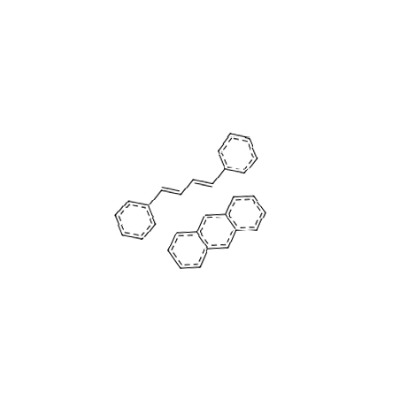 C(C=Cc1ccccc1)=Cc1ccccc1.c1ccc2cc3ccccc3cc2c1